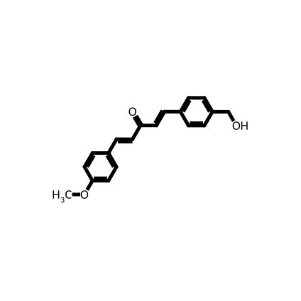 COc1ccc(/C=C/C(=O)/C=C/c2ccc(CO)cc2)cc1